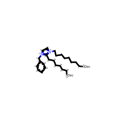 CCCCCCCCCCCCCCCCCC[n+]1ccn(Cc2ccccc2)c1CCCCCCCCCCCCCCCC